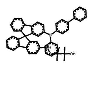 CC(C)(O)C(C)(C)OBc1ccc2c(c1)C1(c3ccccc3-2)c2ccccc2-c2ccc(N(c3ccccc3)c3ccc(-c4ccccc4)cc3)cc21